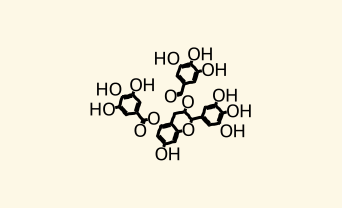 O=C(Oc1cc(O)cc2c1CC(OC(=O)c1cc(O)c(O)c(O)c1)C(c1cc(O)c(O)c(O)c1)O2)c1cc(O)c(O)c(O)c1